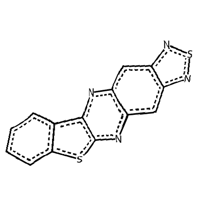 c1ccc2c(c1)sc1nc3cc4nsnc4cc3nc12